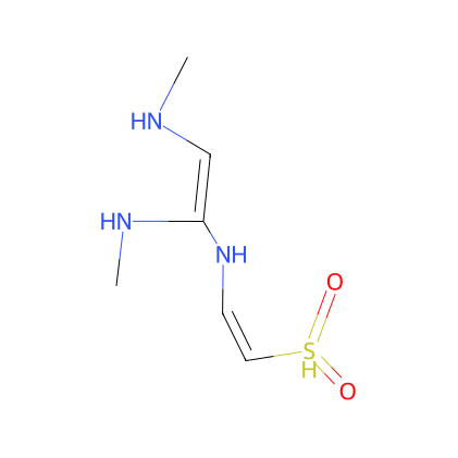 CN/C=C(\NC)N/C=C\[SH](=O)=O